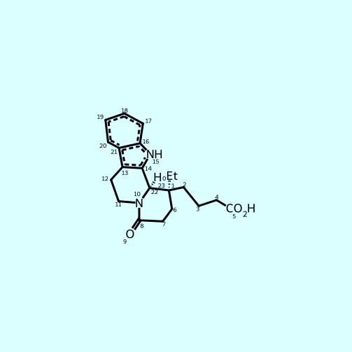 CC[C@]1(CCCC(=O)O)CCC(=O)N2CCc3c([nH]c4ccccc34)[C@H]21